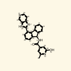 Cc1cc(C(=O)NC2c3ccccc3-c3c(-c4nc5ccncc5[nH]4)cccc32)cc(O)n1